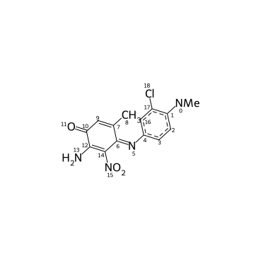 CNc1ccc(N=C2C(C)=CC(=O)C(N)=C2[N+](=O)[O-])cc1Cl